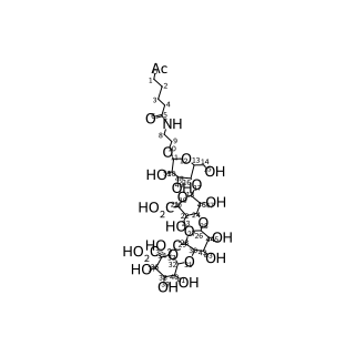 CC(=O)CCCCC(=O)NCCOC1OC(CO)C(OC2OC(C(=O)O)C(O)C(OC3OC(C(=O)O)C(OC4OC(C(=O)O)C(O)C(O)C4O)C(O)C3O)C2O)C(O)C1O